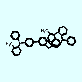 CC1=C(N(c2ccccc2)c2ccc(-c3ccc4c(c3)Cc3cccc(\C5=C(C)/C=C\C=C/CC(c6ccccc6)C6=CCCC=C65)c3-4)cc2)CCC=C1